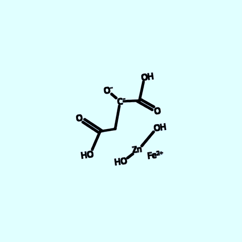 O=C(O)C[C-]([O-])C(=O)O.[Fe+2].[OH][Zn][OH]